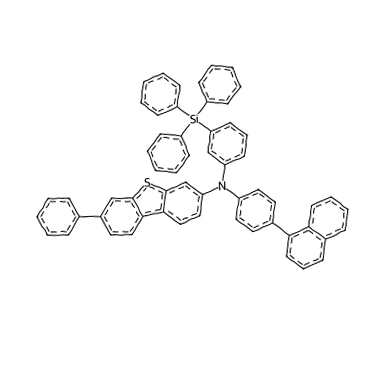 c1ccc(-c2ccc3c(c2)sc2cc(N(c4ccc(-c5cccc6ccccc56)cc4)c4cccc([Si](c5ccccc5)(c5ccccc5)c5ccccc5)c4)ccc23)cc1